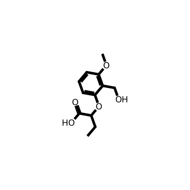 CCC(Oc1cccc(OC)c1CO)C(=O)O